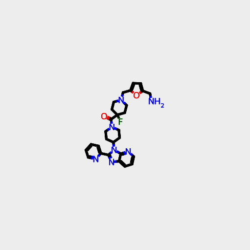 NCc1ccc(CN2CCC(F)(C(=O)N3CCC(n4c(-c5ccccn5)nc5cccnc54)CC3)CC2)o1